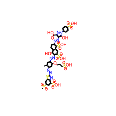 Cc1cc(N=Nc2c(S(=O)(=O)O)cc3c(S(=O)(=O)O)c(N=Nc4c(C(=O)O)nn(-c5ccc(S(=O)(=O)O)cc5)c4O)ccc3c2O)c(OCCCS(=O)(=O)O)cc1N=Nc1nc2c(S(=O)(=O)O)cc(S(C)(=O)=O)cc2s1